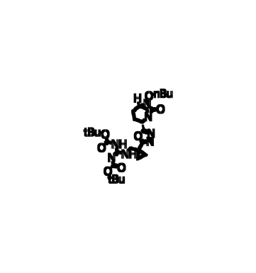 CCCCON1C(=O)N2C[C@@H]1CC[C@H]2c1nnc(C2(CN/C(=N\C(=O)OC(C)(C)C)NC(=O)OC(C)(C)C)CC2)o1